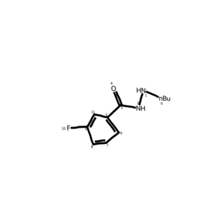 CCCCNNC(=O)c1cccc(F)c1